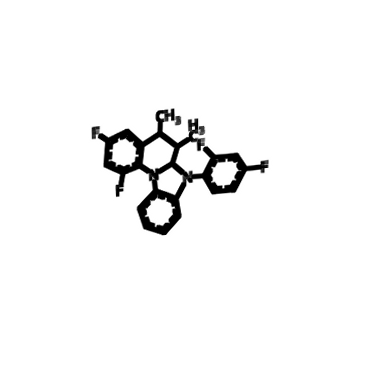 CC1c2cc(F)cc(F)c2N2c3ccccc3N(c3ccc(F)cc3F)C2C1C